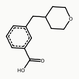 O=C(O)c1cccc(CC2CCOCC2)c1